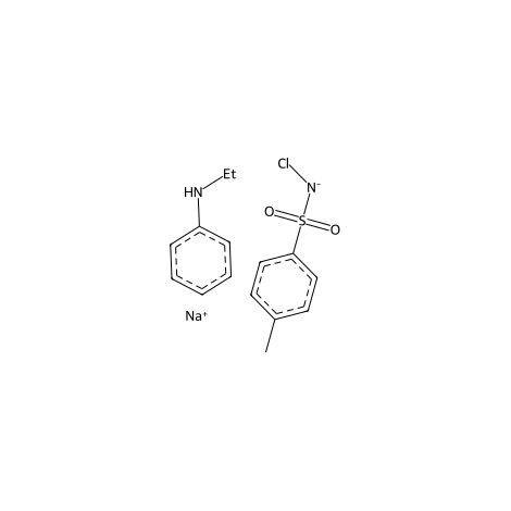 CCNc1ccccc1.Cc1ccc(S(=O)(=O)[N-]Cl)cc1.[Na+]